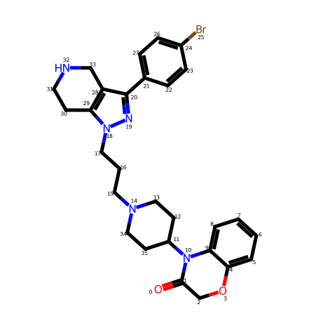 O=C1COc2ccccc2N1C1CCN(CCCn2nc(-c3ccc(Br)cc3)c3c2CCNC3)CC1